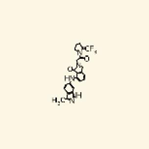 Cc1n[nH]c2cc(Nc3cccc4c3C(=O)N(CC(=O)N3CCC[C@H]3C(F)(F)F)C4)ccc12